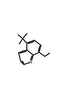 CCc1ccc(C(C)(C)I)c2cccnc12